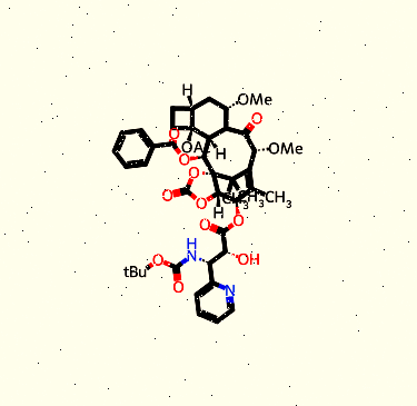 CO[C@H]1C(=O)C2[C@@H](OC)C[C@H]3CC[C@@]3(OC(C)=O)[C@H]2[C@H](OC(=O)c2ccccc2)[C@]23OC(=O)O[C@H]2[C@H](OC(=O)[C@H](O)[C@@H](NC(=O)OC(C)(C)C)c2ccccn2)C(C)=C1C3(C)C